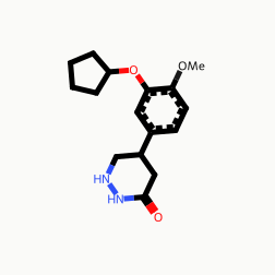 COc1ccc(C2CNNC(=O)C2)cc1OC1CCCC1